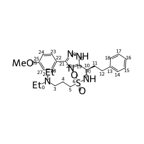 CCN(CC)CCCS(=O)(=O)N[C@H](CCc1ccccc1)c1nc(-c2ccc(OC)cc2)n[nH]1